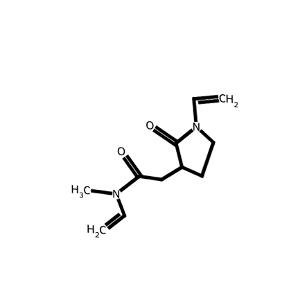 C=CN(C)C(=O)CC1CCN(C=C)C1=O